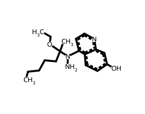 CCCCCC(C)(OCC)N(N)c1ccnc2cc(O)ccc12